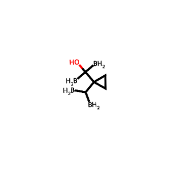 BC(B)C1(C(B)(B)O)CC1